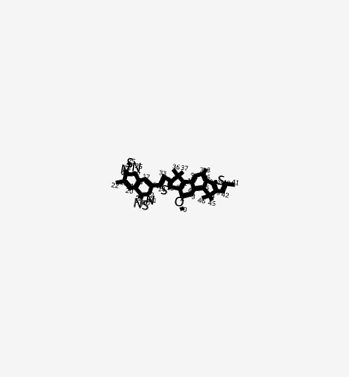 COc1cc2c3c(c(C)cc2c2c1-c1sc(-c4cc5c(cc(C)c6nsnc65)c5nsnc45)cc1C2(C)C)-c1sc(C)cc1C3(C)C